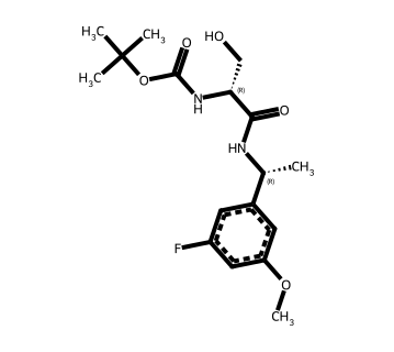 COc1cc(F)cc([C@@H](C)NC(=O)[C@@H](CO)NC(=O)OC(C)(C)C)c1